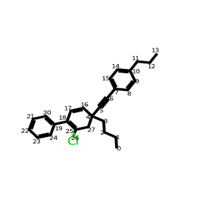 CCCCC1(C#Cc2ccc(CCC)cc2)C=CC(c2ccccc2)=C(Cl)C1